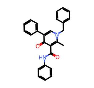 Cc1c(C(=O)Nc2ccccc2)c(=O)c(-c2ccccc2)cn1Cc1ccccc1